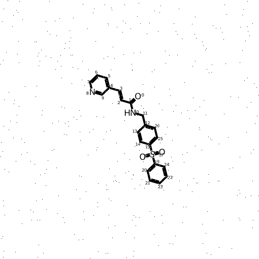 O=C(C=Cc1cccnc1)NCc1ccc(S(=O)(=O)c2ccccc2)cc1